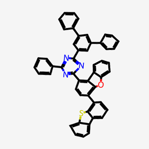 c1ccc(-c2cc(-c3ccccc3)cc(-c3nc(-c4ccccc4)nc(-c4ccc(-c5cccc6c5sc5ccccc56)c5oc6ccccc6c45)n3)c2)cc1